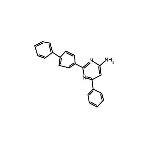 Nc1cc(-c2ccccc2)nc(-c2ccc(-c3ccccc3)cc2)n1